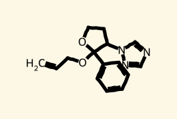 C=CCOC1(c2ccccc2)OCCC1n1cncn1